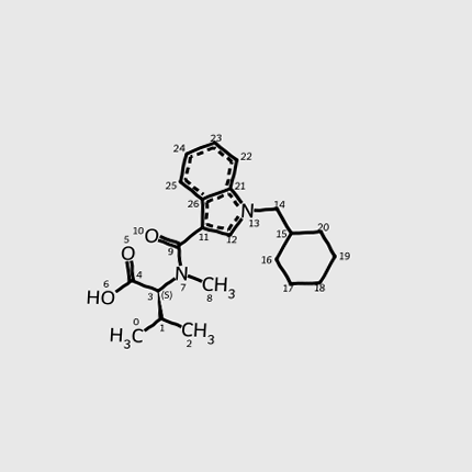 CC(C)[C@@H](C(=O)O)N(C)C(=O)c1cn(CC2CCCCC2)c2ccccc12